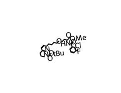 COC(=O)C(CCOCCCCc1ccc2c(n1)N(C(=O)OC(C)(C)C)CCC2)NC(=O)c1cccc(F)c1Cl